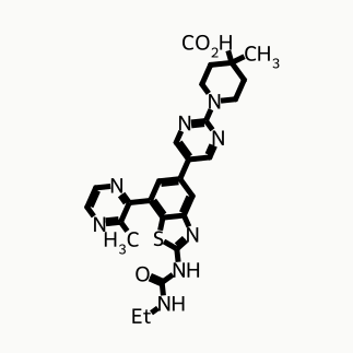 CCNC(=O)Nc1nc2cc(-c3cnc(N4CCC(C)(C(=O)O)CC4)nc3)cc(-c3nccnc3C)c2s1